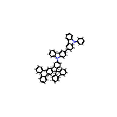 c1ccc(-n2c3ccccc3c3cc(-c4ccc5c(c4)c4ccccc4n5-c4ccc5c(c4)-c4cc6c7ccccc7c7ccccc7c6cc4C54c5ccccc5-c5ccccc54)ccc32)cc1